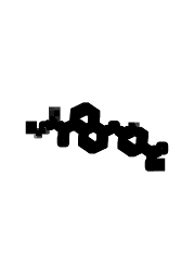 CNC(=O)c1cccc2c(Oc3ccc(C(=O)O)cn3)cccc12